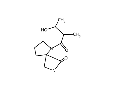 CC(O)C(C)C(=O)N1CCCC12CNC2=O